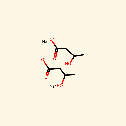 CC(O)CC(=O)[O-].CC(O)CC(=O)[O-].[Na+].[Na+]